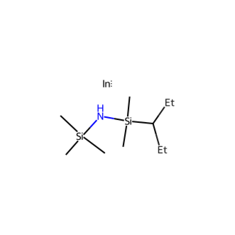 CCC(CC)[Si](C)(C)N[Si](C)(C)C.[In]